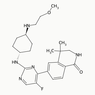 COCCN[C@H]1CC[C@H](Nc2ncc(F)c(-c3ccc4c(c3)C(C)(C)CNC4=O)n2)CC1